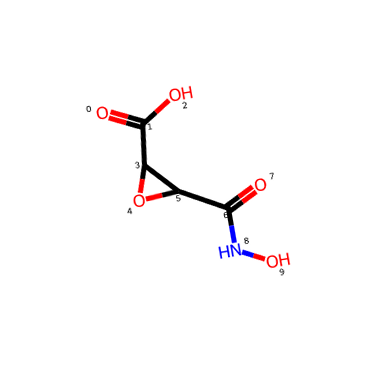 O=C(O)C1OC1C(=O)NO